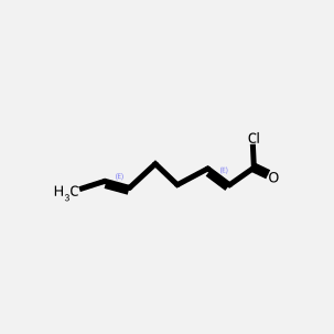 C/C=C/CC/C=C/C(=O)Cl